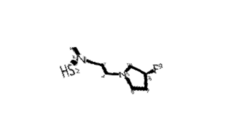 CN(S)CCN1CC[C@H](F)C1